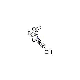 O=C1N=C(N2CCN(CCO)CC2)S/C1=C/c1ccc(F)cc1OC(=O)N1CCCC1